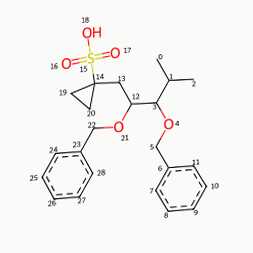 CC(C)C(OCc1ccccc1)C(CC1(S(=O)(=O)O)CC1)OCc1ccccc1